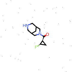 O=C([C@H]1C[C@H]1F)N1CC2CNCC(C2)C1